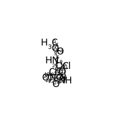 CCOC(=O)CCNc1cc(Cl)c(Oc2cc(N3CCOCC3)c(=O)[nH]n2)c(Cl)c1